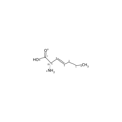 CCCC=C[C@H](N)C(=O)O